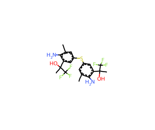 Cc1cc(Sc2cc(C)c(N)c(C(C)(O)C(F)(F)F)c2)cc(C(C)(O)C(F)(F)F)c1N